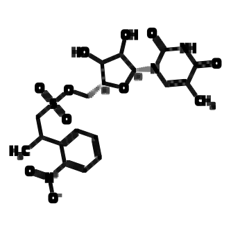 Cc1cn([C@@H]2O[C@H](COS(=O)(=O)CC(C)c3ccccc3[N+](=O)[O-])C(O)C2O)c(=O)[nH]c1=O